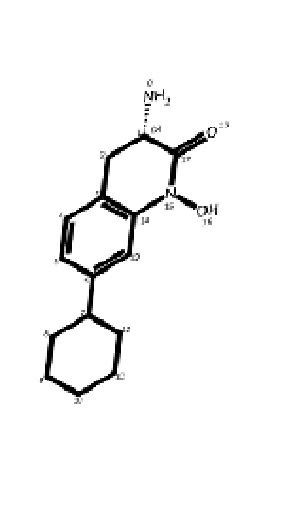 N[C@H]1Cc2ccc(C3CCCCC3)cc2N(O)C1=O